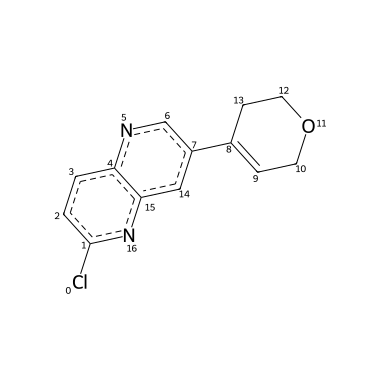 Clc1ccc2ncc(C3=CCOCC3)cc2n1